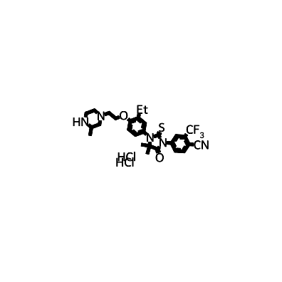 CCc1cc(N2C(=S)N(c3ccc(C#N)c(C(F)(F)F)c3)C(=O)C2(C)C)ccc1OCCN1CCNC(C)C1.Cl.Cl